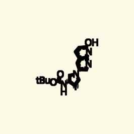 C[C@H]1CN(c2cnc3nc(O)ccc3c2)C[C@H]1NC(=O)OC(C)(C)C